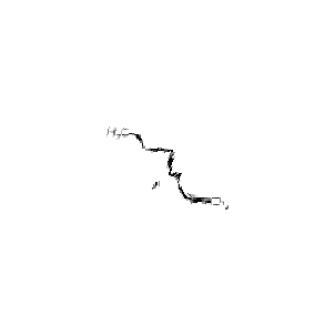 C=CCCCCCC.[Pt]